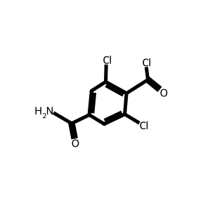 NC(=O)c1cc(Cl)c(C(=O)Cl)c(Cl)c1